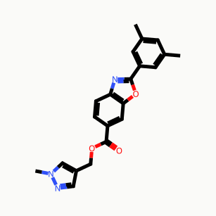 Cc1cc(C)cc(-c2nc3ccc(C(=O)OCc4cnn(C)c4)cc3o2)c1